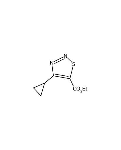 CCOC(=O)c1snnc1C1CC1